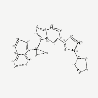 c1cnc2c(C3(c4cnc5ncc(-c6cnn(C7CCOC7)c6)cn45)CC3)cccc2c1